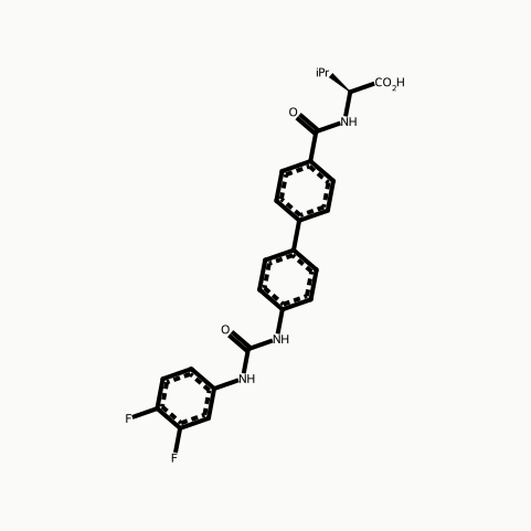 CC(C)[C@H](NC(=O)c1ccc(-c2ccc(NC(=O)Nc3ccc(F)c(F)c3)cc2)cc1)C(=O)O